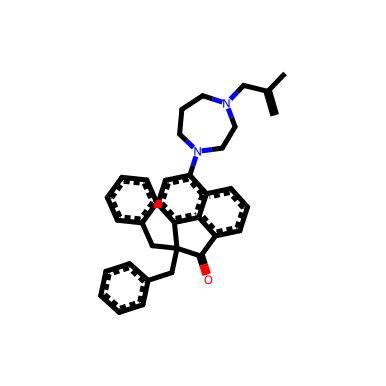 C=C(C)CN1CCCN(c2ccc3c4c(cccc24)C(=O)C3(Cc2ccccc2)Cc2ccccc2)CC1